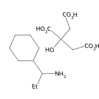 CCC(N)C1CCCCC1.O=C(O)CC(O)(CC(=O)O)C(=O)O